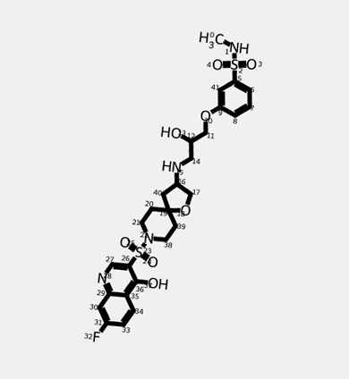 CNS(=O)(=O)c1cccc(OCC(O)CNC2COC3(CCN(S(=O)(=O)c4cnc5cc(F)ccc5c4O)CC3)C2)c1